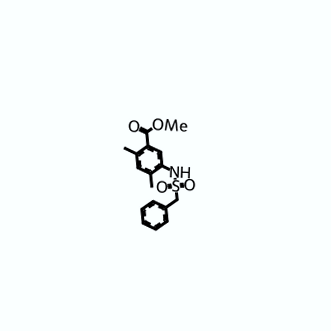 COC(=O)c1cc(NS(=O)(=O)Cc2ccccc2)c(C)cc1C